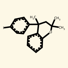 CC1(C)CC(C)(c2ccc(I)cc2)c2ccccc2O1